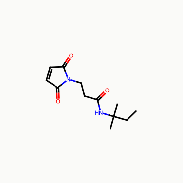 CCC(C)(C)NC(=O)CCN1C(=O)C=CC1=O